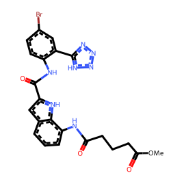 COC(=O)CCCC(=O)Nc1cccc2cc(C(=O)Nc3ccc(Br)cc3-c3nnn[nH]3)[nH]c12